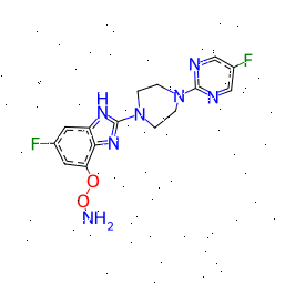 NOOc1cc(F)cc2[nH]c(N3CCN(c4ncc(F)cn4)CC3)nc12